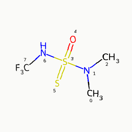 CN(C)S(=O)(=S)NC(F)(F)F